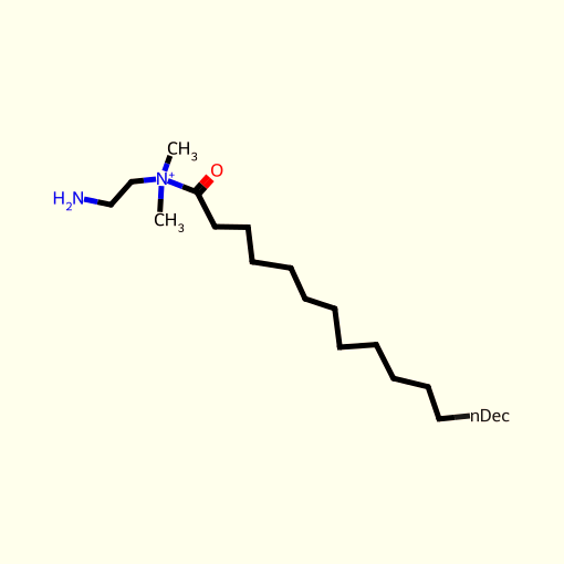 CCCCCCCCCCCCCCCCCCCCCC(=O)[N+](C)(C)CCN